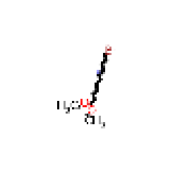 CCOC(CCCCC/C=C/CCCBr)OCC